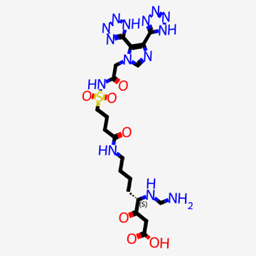 NCN[C@@H](CCCCNC(=O)CCCS(=O)(=O)NC(=O)Cn1cnc(-c2nnn[nH]2)c1-c1nnn[nH]1)C(=O)CC(=O)O